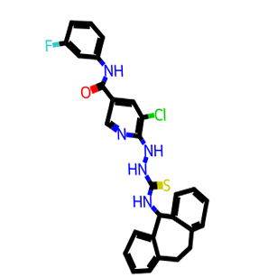 O=C(Nc1cccc(F)c1)c1cnc(NNC(=S)NC2c3ccccc3CCc3ccccc32)c(Cl)c1